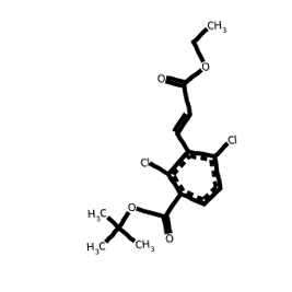 CCOC(=O)C=Cc1c(Cl)ccc(C(=O)OC(C)(C)C)c1Cl